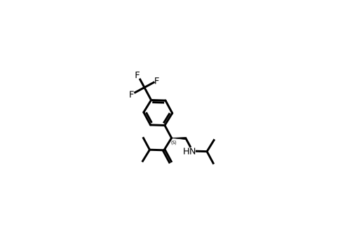 C=C(C(C)C)[C@H](CNC(C)C)c1ccc(C(F)(F)F)cc1